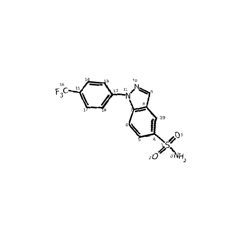 NS(=O)(=O)c1ccc2c(cnn2-c2ccc(C(F)(F)F)cc2)c1